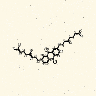 CC(C)=CCC/C(C)=C/CCc1ccc2c(c1)C(=O)c1cc(CC/C=C(\C)CCC=C(C)C)ccc1C2=O